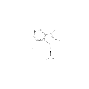 CCC1=C(C)c2ccccc2[CH]1[Zr+2][SiH](C)C.[Br-].[Br-]